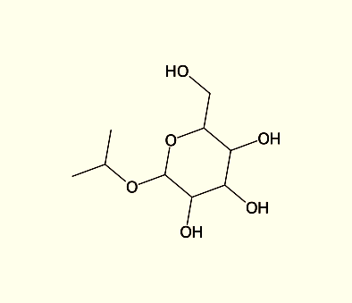 CC(C)OC1OC(CO)C(O)C(O)C1O